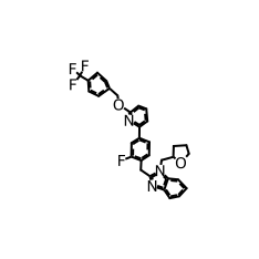 Fc1cc(-c2cccc(OCc3ccc(C(F)(F)F)cc3)n2)ccc1Cc1nc2ccccc2n1CC1CCCO1